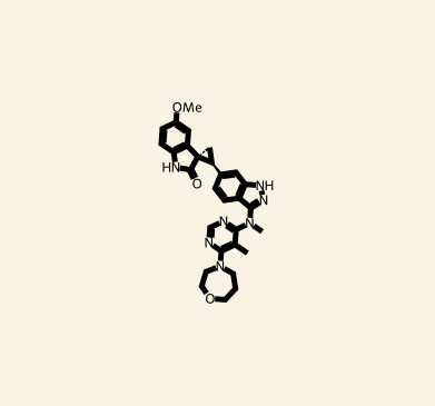 COc1ccc2c(c1)[C@]1(C[C@H]1c1ccc3c(N(C)c4ncnc(N5CCCOCC5)c4C)n[nH]c3c1)C(=O)N2